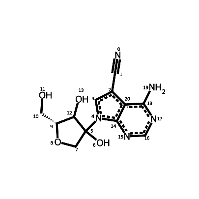 N#Cc1cn(C2(O)CO[C@H](CO)C2O)c2ncnc(N)c12